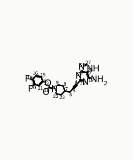 Nc1nc(C#CCC2CCN(C(=O)Oc3ccc(F)c(F)c3)CC2)nc2nc[nH]c12